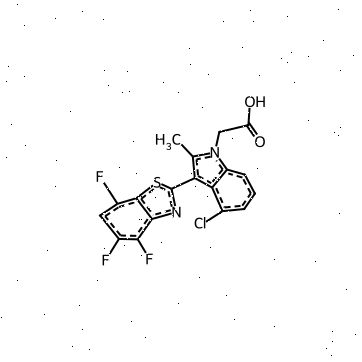 Cc1c(-c2nc3c(F)c(F)cc(F)c3s2)c2c(Cl)cccc2n1CC(=O)O